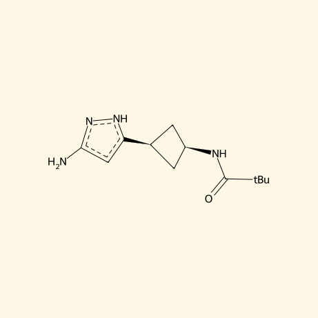 CC(C)(C)C(=O)N[C@H]1C[C@@H](c2cc(N)n[nH]2)C1